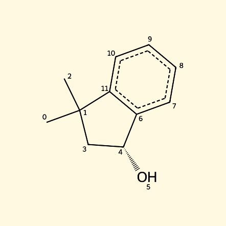 CC1(C)C[C@@H](O)c2ccccc21